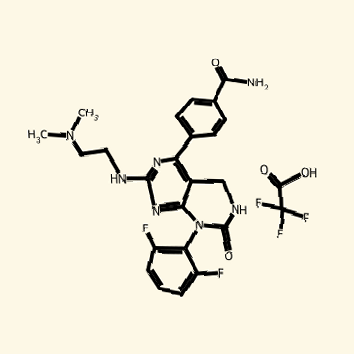 CN(C)CCNc1nc(-c2ccc(C(N)=O)cc2)c2c(n1)N(c1c(F)cccc1F)C(=O)NC2.O=C(O)C(F)(F)F